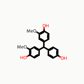 COc1cc(C(c2ccc(O)cc2)c2ccc(O)c(OC)c2)ccc1O